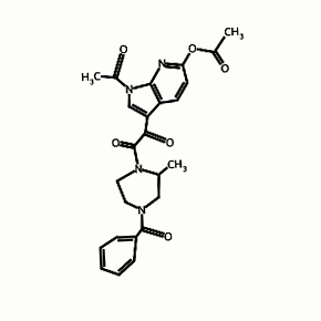 CC(=O)Oc1ccc2c(C(=O)C(=O)N3CCN(C(=O)c4ccccc4)CC3C)cn(C(C)=O)c2n1